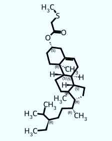 CC[C@H](CC[C@@H](C)[C@H]1CC[C@H]2[C@@H]3CC=C4C[C@@H](OC(=O)CSC)CC[C@]4(C)[C@H]3CC[C@]12C)C(C)C